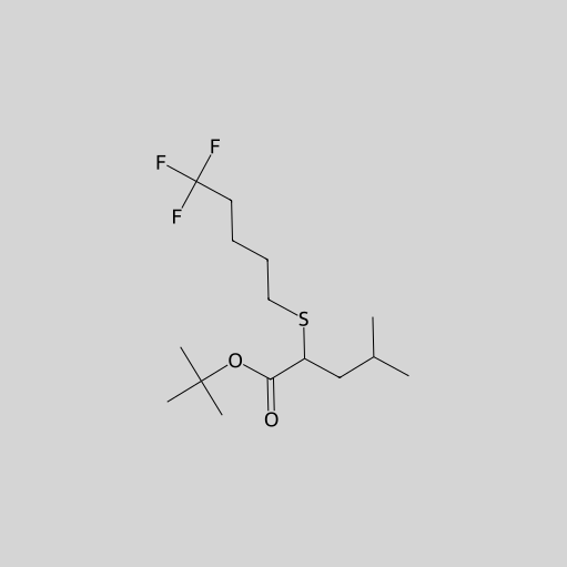 CC(C)CC(SCCCCC(F)(F)F)C(=O)OC(C)(C)C